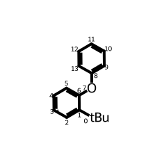 CC(C)(C)c1c[c]ccc1Oc1ccccc1